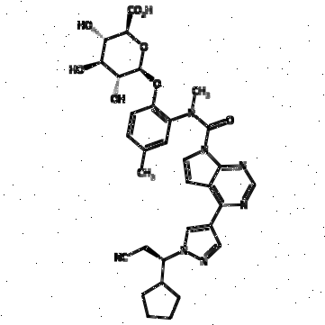 Cc1ccc(O[C@@H]2O[C@H](C(=O)O)[C@@H](O)[C@H](O)[C@H]2O)c(N(C)C(=O)n2ccc3c(-c4cnn([C@H](CC#N)C5CCCC5)c4)ncnc32)c1